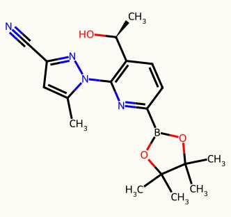 Cc1cc(C#N)nn1-c1nc(B2OC(C)(C)C(C)(C)O2)ccc1[C@H](C)O